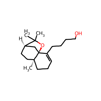 CC1(C)O[C@]23C[C@H]1CC[C@]2(C)CCC=C3CCCCO